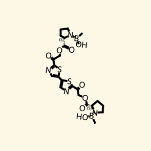 CB(O)N1CCC[C@H]1C(=O)OCC(=O)c1ncc(-c2cnc(C(=O)COC(=O)[C@@H]3CCCN3B(C)O)s2)s1